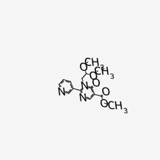 COC(=O)c1cnc(-c2cccnc2)n(CC(OC)OC)c1=O